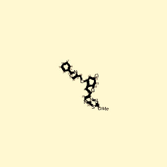 COc1nn2c(-c3cc4c(OCc5csc(-c6ccccc6)n5)cc(Cl)cc4o3)cnc2s1